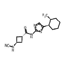 N#CN[C@H]1C[C@H](C(=O)Nc2ncc([C@@H]3CCCC[C@@H]3C(F)(F)F)s2)C1